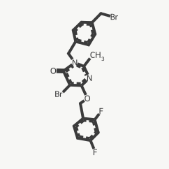 Cc1nc(OCc2ccc(F)cc2F)c(Br)c(=O)n1Cc1ccc(CBr)cc1